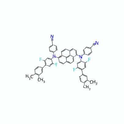 Cc1ccc(-c2cc(F)c(N(c3ccc(C#N)cc3)c3ccc4ccc5c(N(c6ccc(C#N)cc6)c6cc(F)c(-c7ccc(C)c(C)c7)cc6F)ccc6ccc3c4c65)cc2F)cc1C